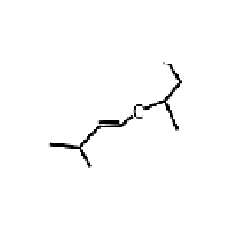 [CH2]CC(C)CC=CC(C)C